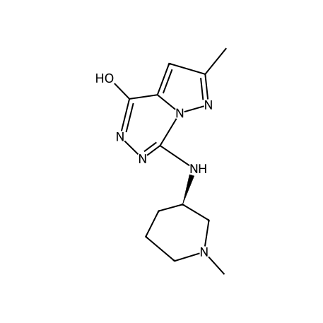 Cc1cc2c(O)nnc(N[C@@H]3CCCN(C)C3)n2n1